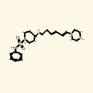 O=S(=O)(Nc1ccccc1)N1CCC(OCCCCCCN2CCOCC2)CC1